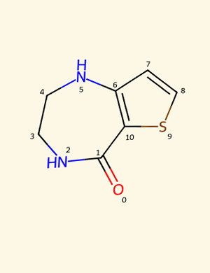 O=C1NCCNc2ccsc21